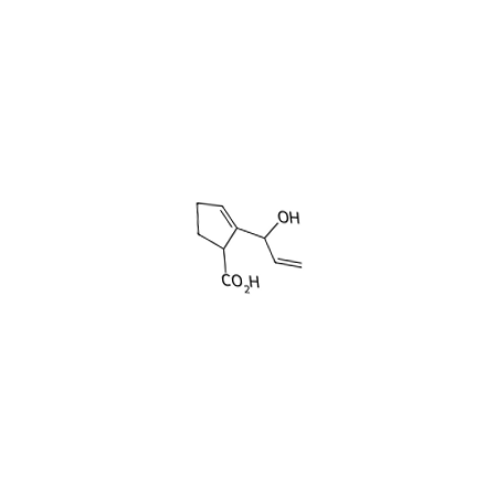 C=CC(O)C1=CCCC1C(=O)O